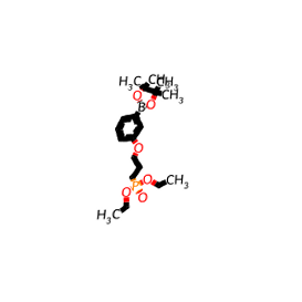 CCOP(=O)(CCCOc1cccc(B2OC(C)(C)C(C)(C)O2)c1)OCC